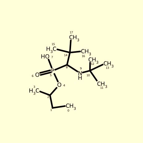 CCC(C)OP(=O)(O)C(NC(C)(C)C)C(C)(C)C